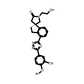 CC(C)Oc1ccc(-c2nnc(-c3cccc4c3CC[C@@]43CC(=O)N(CCO)C3)s2)cc1C#N